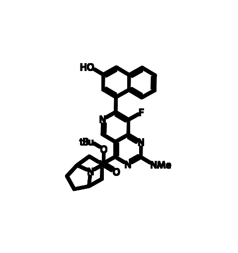 CNc1nc(N2CC3CCC(C2)N3C(=O)OC(C)(C)C)c2cnc(-c3cc(O)cc4ccccc34)c(F)c2n1